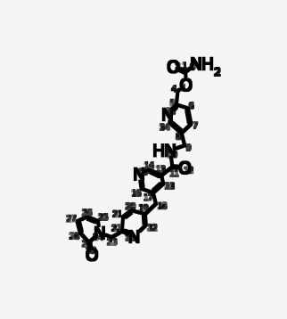 NC(=O)OCc1ccc(CNC(=O)c2cncc(Cc3ccc(Cn4ccccc4=O)nc3)c2)cn1